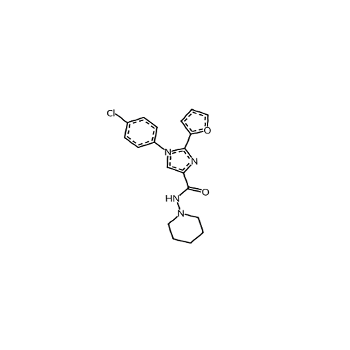 O=C(NN1CCCCC1)c1cn(-c2ccc(Cl)cc2)c(-c2ccco2)n1